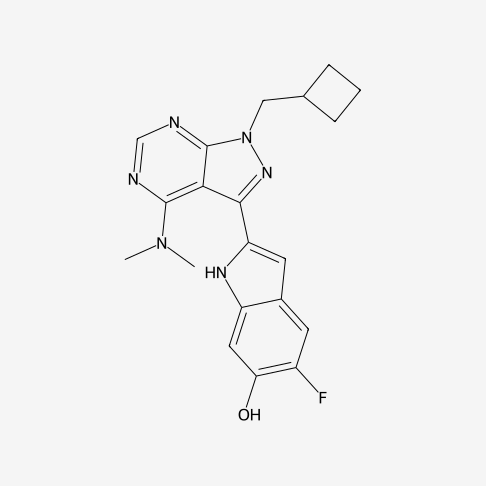 CN(C)c1ncnc2c1c(-c1cc3cc(F)c(O)cc3[nH]1)nn2CC1CCC1